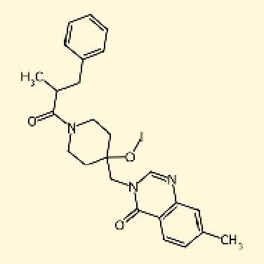 Cc1ccc2c(=O)n(CC3(OI)CCN(C(=O)C(C)Cc4ccccc4)CC3)cnc2c1